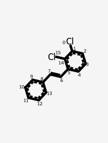 Clc1cccc(C=Cc2ccccc2)c1Cl